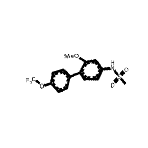 COc1cc(NS(C)(=O)=O)ccc1-c1ccc(OC(F)(F)F)cc1